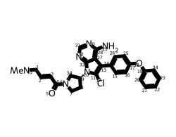 CNC/C=C/C(=O)N1CC[C@@H](n2c(Cl)c(-c3ccc(Oc4ccccc4)cc3)c3c(N)ncnc32)C1